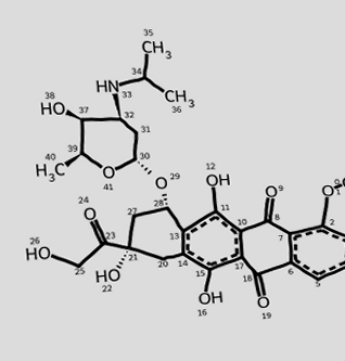 COc1cccc2c1C(=O)c1c(O)c3c(c(O)c1C2=O)C[C@@](O)(C(=O)CO)C[C@@H]3O[C@H]1C[C@H](NC(C)C)[C@H](O)[C@H](C)O1